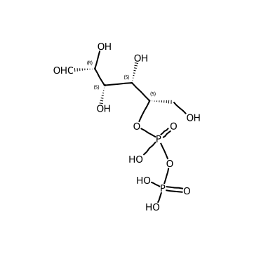 O=C[C@H](O)[C@@H](O)[C@H](O)[C@H](CO)OP(=O)(O)OP(=O)(O)O